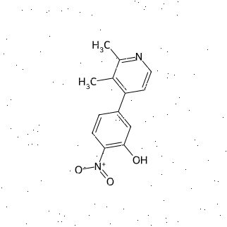 Cc1nccc(-c2ccc([N+](=O)[O-])c(O)c2)c1C